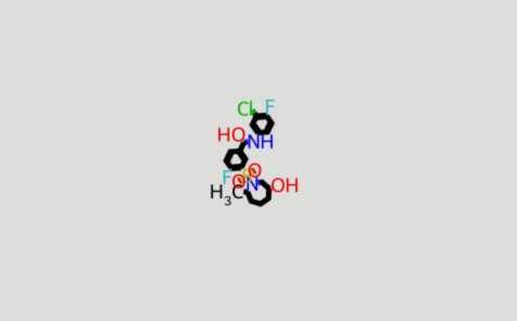 CC1CCCC(O)CN1S(=O)(=O)c1cc(C(O)Nc2ccc(F)c(Cl)c2)ccc1F